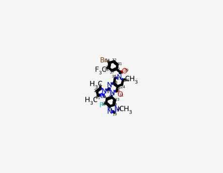 Cc1cc(C)n(-c2nc3c(c(=O)n2-c2cc(F)c4ncn(C)c4c2)CC(C)N(C(=O)c2ccc(Br)c(C(F)(F)F)c2)C3)n1